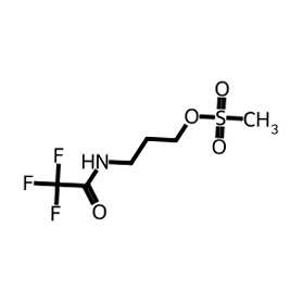 CS(=O)(=O)OCCCNC(=O)C(F)(F)F